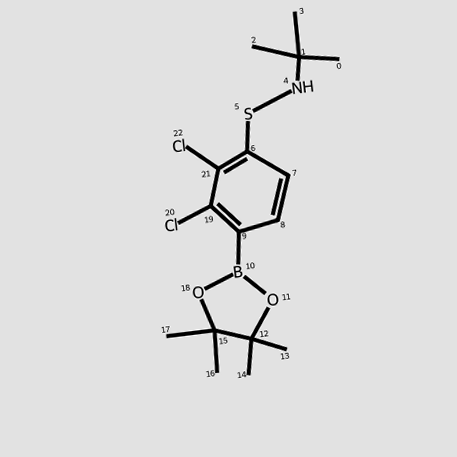 CC(C)(C)NSc1ccc(B2OC(C)(C)C(C)(C)O2)c(Cl)c1Cl